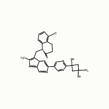 Cc1nc2cnc(-c3cnc(C4(O)CC(C)(O)C4)nc3)cn2c1CN1C(=O)COc2c(Cl)cccc21